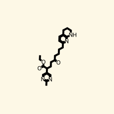 CCOC(=O)C(CCC(=O)CCCCc1ccc2c(n1)NCCC2)c1cnc(C)nc1